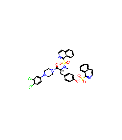 CN([C@@H](Cc1ccc(OS(=O)(=O)c2nccc3ccccc23)cc1)C(=O)N1CCN(c2ccc(Cl)c(Cl)c2)CC1)S(=O)(=O)c1nccc2ccccc12